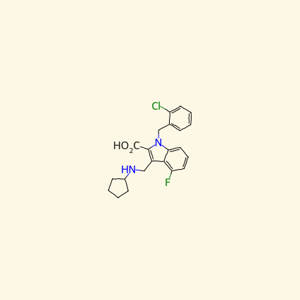 O=C(O)c1c(CNC2CCCC2)c2c(F)cccc2n1Cc1ccccc1Cl